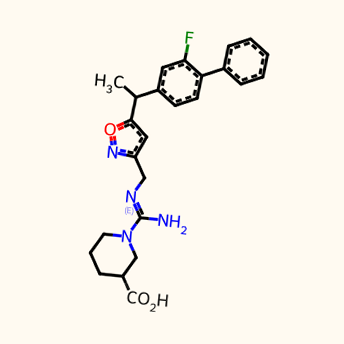 CC(c1ccc(-c2ccccc2)c(F)c1)c1cc(C/N=C(\N)N2CCCC(C(=O)O)C2)no1